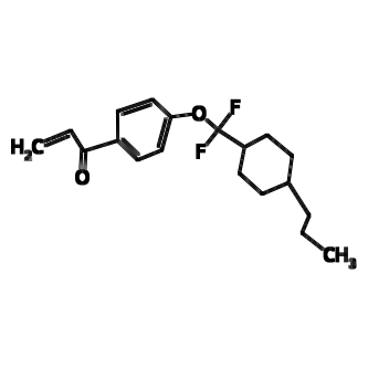 C=CC(=O)c1ccc(OC(F)(F)C2CCC(CCC)CC2)cc1